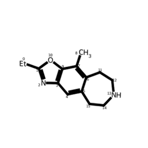 CCc1nc2cc3c(c(C)c2o1)CCNCC3